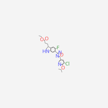 CCOC(=O)CCC1CNc2cc(-c3noc(-c4cnc(OC(C)C)c(Cl)c4)n3)c(F)cc21